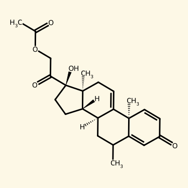 CC(=O)OCC(=O)[C@@]1(O)CC[C@H]2[C@@H]3CC(C)C4=CC(=O)C=C[C@]4(C)C3=CC[C@@]21C